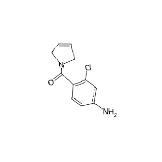 Nc1ccc(C(=O)N2CC=CC2)c(Cl)c1